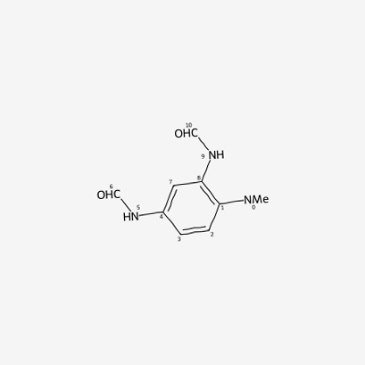 CNc1ccc(NC=O)cc1NC=O